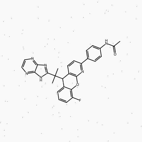 CC(=O)Nc1ccc(-c2ccc3c(n2)Oc2c(F)cccc2C3C(C)(C)c2nc3nccnc3[nH]2)cc1